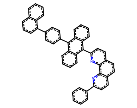 c1ccc(-c2ccc3ccc4ccc(-c5c6ccccc6c(-c6ccc(-c7cccc8ccccc78)cc6)c6ccccc56)nc4c3n2)cc1